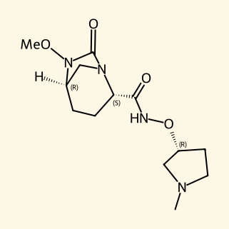 CON1C(=O)N2C[C@H]1CC[C@H]2C(=O)NO[C@@H]1CCN(C)C1